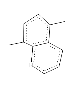 Ic1ccc(I)c2ncccc12